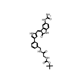 CC(C)(C)OC(=O)NCC(=O)NCc1cccc(-c2c[nH]c(C=C3C(=O)Nc4ccc(NC(N)=O)cc43)c2)c1